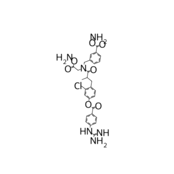 CC(Cc1ccc(OC(=O)c2ccc(NC(=N)N)cc2)cc1Cl)C(=O)N(CC(=O)ON)Cc1cccc(C(=O)ON)c1